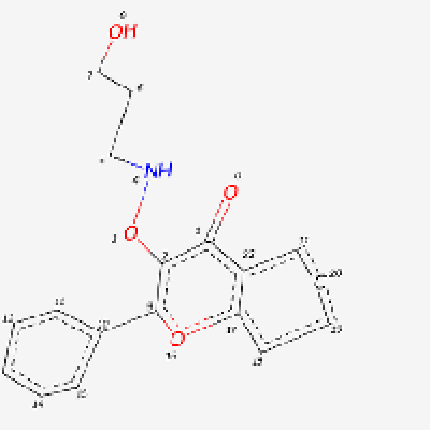 O=c1c(ONCCCO)c(-c2ccccc2)oc2ccccc12